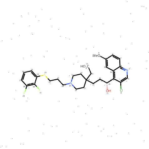 COc1ccc2ncc(Cl)c([C@H](O)CCC3(CC(=O)O)CCN(CCCSc4cccc(F)c4F)CC3)c2c1